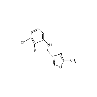 Cc1nc(CNc2cccc(Cl)c2F)no1